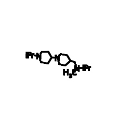 CC(C)N(C)CC1CCN(C2CCN(C(C)C)CC2)CC1